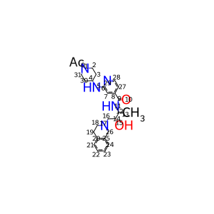 CC(=O)N1CCC(Nc2cc(C(=O)NC(C)C(O)CN3CCc4ccccc4C3)ccn2)CC1